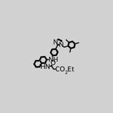 CCOC(=O)CC(=O)Nc1c(Nc2ccc(-c3nccn3Cc3c(C)cc(C)cc3C)cc2)ccc2ccccc12